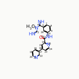 CN(C=N)C(=N)c1cccc(NC(=O)c2cc(-c3cccnc3)ccn2)c1